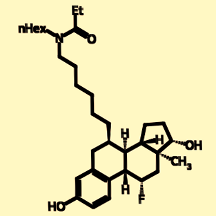 CCCCCCN(CCCCCC[C@@H]1Cc2cc(O)ccc2[C@@H]2[C@@H]1[C@@H]1CC[C@H](O)[C@@]1(C)C[C@@H]2F)C(=O)CC